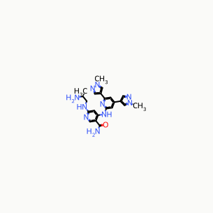 C[C@H](N)CNc1cc(Nc2cc(-c3cnn(C)c3)cc(-c3cnn(C)c3)n2)c(C(N)=O)cn1